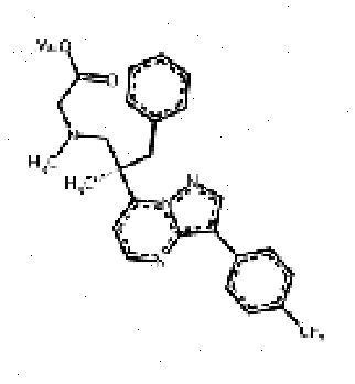 COC(=O)CN(C)C[C@@](C)(Cc1ccccc1)c1ccnc2c(-c3ccc(C(F)(F)F)cc3)cnn12